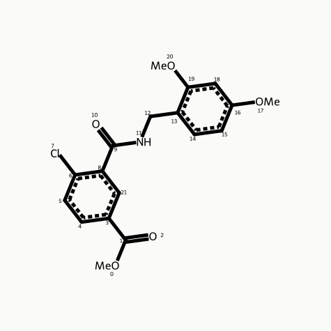 COC(=O)c1ccc(Cl)c(C(=O)NCc2ccc(OC)cc2OC)c1